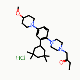 CCC(=O)CN1CCN(c2ccc(N3CCC(OC)CC3)cc2C2CC(C)(C)CC(C)(C)C2)CC1.Cl